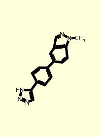 Cn1ncc2cc(-c3ccc(-c4cnn[nH]4)cc3)ccc21